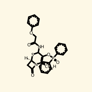 O=C(COc1ccccc1)NC1S[C@@H]2CC(=O)N2C(C(=O)O)=C1OP(=O)(c1ccccc1)c1ccccc1